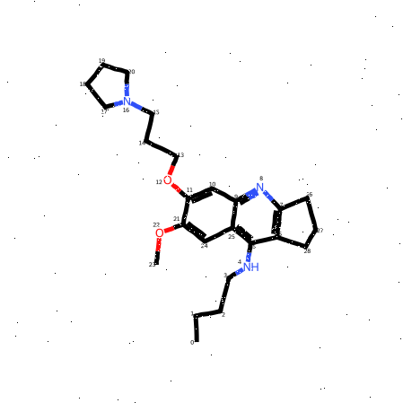 CCCCNc1c2c(nc3cc(OCCCN4CCCC4)c(OC)cc13)CCC2